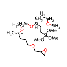 CO[Si](CC[SiH](C)O[SiH3])(OC)OC.C[SiH2]O[SiH3].C[SiH](CCCOCC1CO1)O[SiH3]